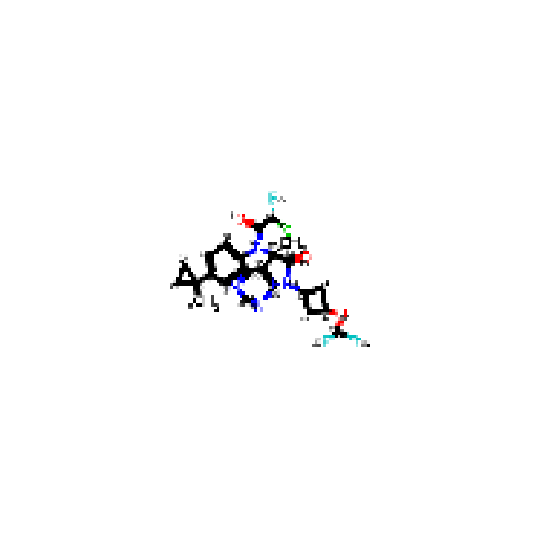 CC1(c2ccc(N(C(=O)[C@H](F)Cl)[C@](C)(C(=O)NC3CC(OC(F)F)C3)c3cncnc3)cc2)CC1